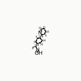 CC(=NO)c1ccc(-c2ccccn2)cc1